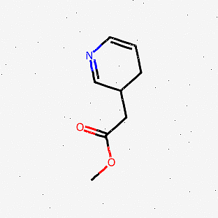 COC(=O)CC1C=NC=CC1